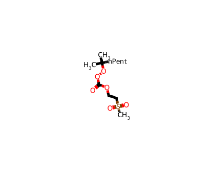 CCCCCC(C)(C)OOC(=O)OCCS(C)(=O)=O